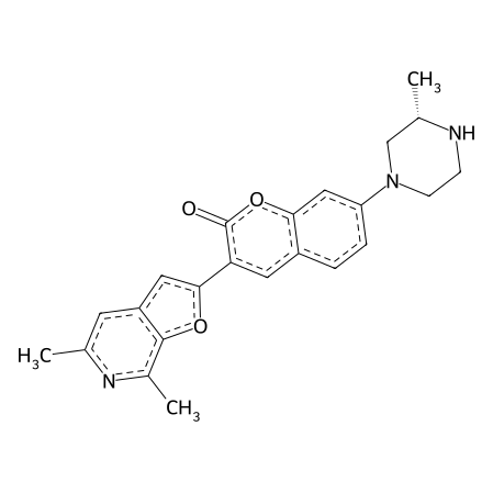 Cc1cc2cc(-c3cc4ccc(N5CCN[C@@H](C)C5)cc4oc3=O)oc2c(C)n1